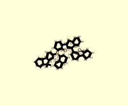 CC1(C)c2ccccc2-c2ccc(N(c3cccc4ccccc34)c3cccc4c3oc3c(-c5cccc6c5oc5ccccc56)c5ccccc5cc34)cc21